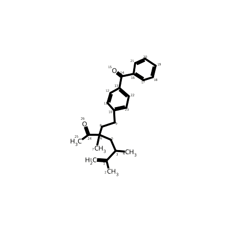 C=C(C)C(C)CC(C)(CCc1ccc(C(=O)c2ccccc2)cc1)C(C)=O